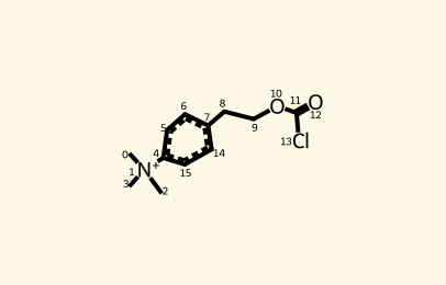 C[N+](C)(C)c1ccc(CCOC(=O)Cl)cc1